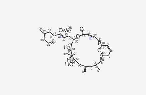 C=C1C[C@H](C)C[C@@H]2CC=C[C@@H](C/C=C\C(=O)O[C@H]([C@H](/C=C/[C@@H]3CC(C)=CCO3)OC)C[C@@H]3C[C@H]3[C@@H](O)C1)O2